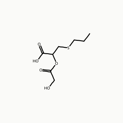 CCCSCC(OC(=O)CO)C(=O)O